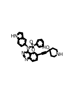 O=S(=O)(c1ccccc1)N(c1ccc2[nH]ccc2c1)c1ncnc2ccc(C#CC3(O)CCNCC3)cc12